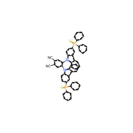 N#Cc1cc(-n2c3ccccc3c3cc(P(=S)(c4ccccc4)c4ccccc4)ccc32)c(-n2c3ccccc3c3cc(P(=S)(c4ccccc4)c4ccccc4)ccc32)cc1C#N